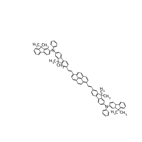 CC1(C)c2cc(/C=C/c3ccc4ccc5c(/C=C/c6ccc7c(c6)C(C)(C)c6cc(N(c8ccccc8)c8ccc9c(c8)C(C)(C)c8ccccc8-9)ccc6-7)ccc6ccc3c4c65)ccc2-c2ccc(N(C3=CC4C(C=C3)c3ccccc3C4(C)C)c3ccccc3)cc21